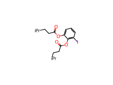 CC(C)CCC(=O)Oc1cccc(I)c1OC(=O)CCC(C)C